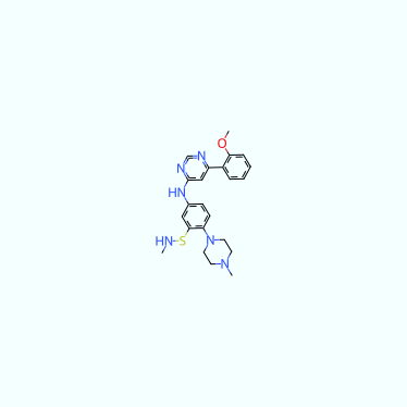 CNSc1cc(Nc2cc(-c3ccccc3OC)ncn2)ccc1N1CCN(C)CC1